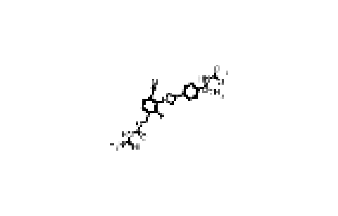 CC(=O)N[C@@H](C)c1ccc(C2CN(c3c(C#N)ccc(COC(=O)NC(=N)N)c3F)C2)cc1